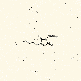 CCCCCC1=CC(=O)N(N=[N+]=[N-])C1=O